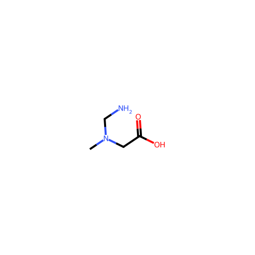 CN(CN)CC(=O)O